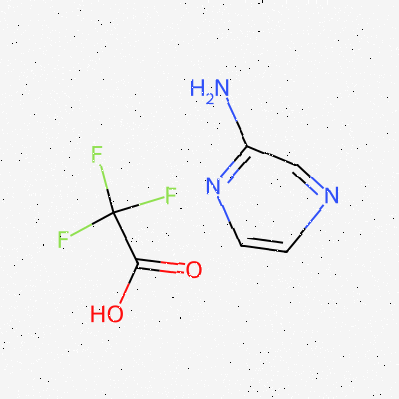 Nc1cnccn1.O=C(O)C(F)(F)F